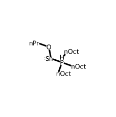 CCCCCCCC[PH](CCCCCCCC)(CCCCCCCC)[Sn][O]CCC